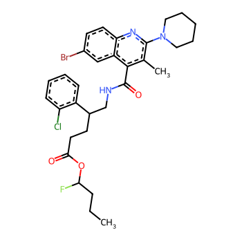 CCCC(F)OC(=O)CCC(CNC(=O)c1c(C)c(N2CCCCC2)nc2ccc(Br)cc12)c1ccccc1Cl